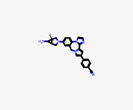 N#Cc1ccc(-c2cc3n(c2)Cc2cc(N4CC5C(N)[C@@H]5C4)ccc2-n2ccnc2-3)cc1